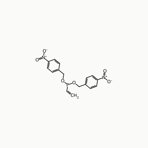 C=CP(OCc1ccc([N+](=O)[O-])cc1)OCc1ccc([N+](=O)[O-])cc1